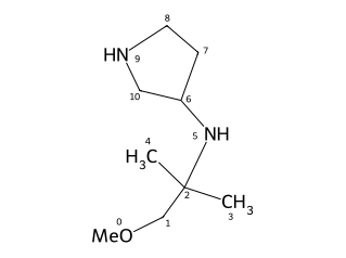 COCC(C)(C)NC1CCNC1